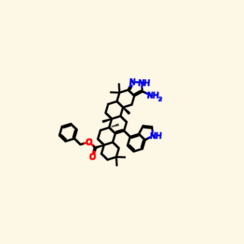 CC1(C)CC[C@]2(C(=O)OCc3ccccc3)CC[C@]3(C)C(=C(c4cccc5[nH]ccc45)CC4[C@@]5(C)Cc6c(n[nH]c6N)C(C)(C)C5CC[C@]43C)C2C1